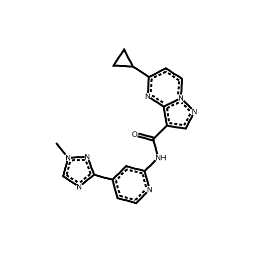 Cn1cnc(-c2ccnc(NC(=O)c3cnn4ccc(C5CC5)nc34)c2)n1